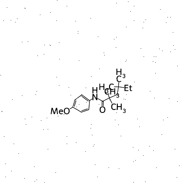 CCC(C)(C)CC(C)(C)C(=O)Nc1ccc(OC)cc1